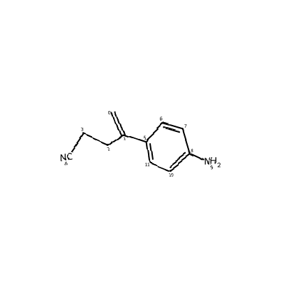 C=C(CCC#N)c1ccc(N)cc1